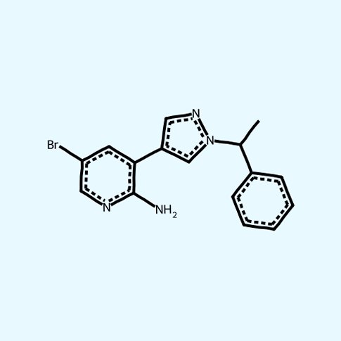 CC(c1ccccc1)n1cc(-c2cc(Br)cnc2N)cn1